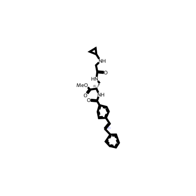 COC(=O)[C@H](CNC(=O)CNC1CC1)NC(=O)c1ccc(/C=C/c2ccccc2)cc1